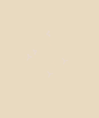 c1ccc(N2c3ccc(Oc4ccccn4)cc3B3c4cc(-c5nc6ccccc6n5-c5ccccc5)ccc4N(c4ccccc4)c4cccc2c43)cc1